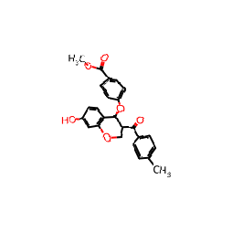 COC(=O)c1ccc(OC2c3ccc(O)cc3OCC2C(=O)c2ccc(C)cc2)cc1